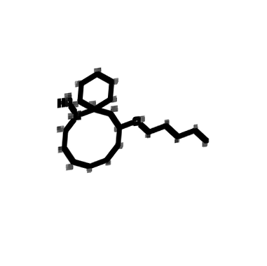 CCCCCOC1CCCCCCN(O)C2(CCCCC2)C1